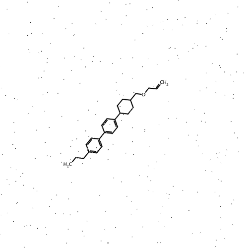 C=CCOCC1CCC(c2ccc(-c3ccc(CCC)cc3)cc2)CC1